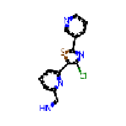 N=Cc1cccc(-c2sc(-c3cccnc3)nc2Cl)n1